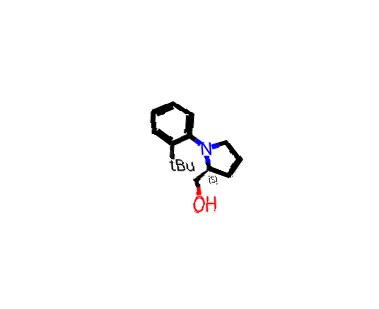 CC(C)(C)c1ccccc1N1CCC[C@H]1CO